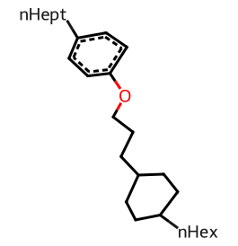 CCCCCCCc1ccc(OCCCC2CCC(CCCCCC)CC2)cc1